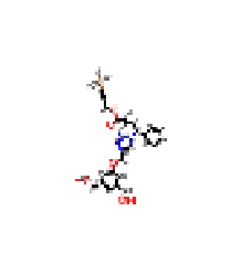 CC(C)(CC(c1ccccc1)n1cc(COc2cc(CO)cc(CO)c2)nn1)C(=O)OCC#CS(C)(C)C